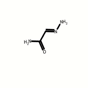 N/N=C/C(N)=O